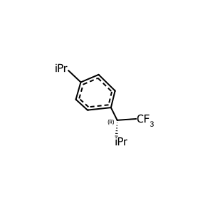 CC(C)c1ccc([C@@H](C(C)C)C(F)(F)F)cc1